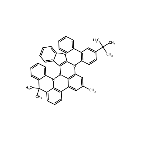 Cc1cc2c3c(c1)N(c1ccc(C(C)(C)C)cc1-c1ccccc1)c1oc4ccccc4c1B3N1c3ccccc3C(C)(C)c3cccc-2c31